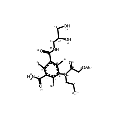 COCC(=O)N(CCO)c1c(I)c(C(N)=O)c(I)c(C(=O)NCC(O)CO)c1I